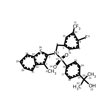 Cc1c(N(Cc2ccc(F)c(C(F)(F)F)c2)S(=O)(=O)c2ccc(C(C)(C)O)cc2)sc2ccccc12